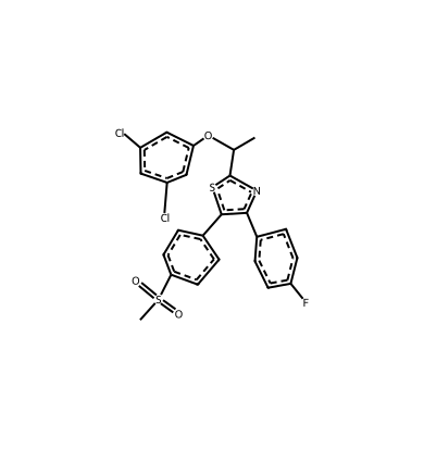 CC(Oc1cc(Cl)cc(Cl)c1)c1nc(-c2ccc(F)cc2)c(-c2ccc(S(C)(=O)=O)cc2)s1